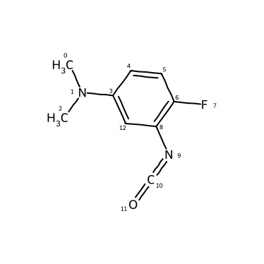 CN(C)c1ccc(F)c(N=C=O)c1